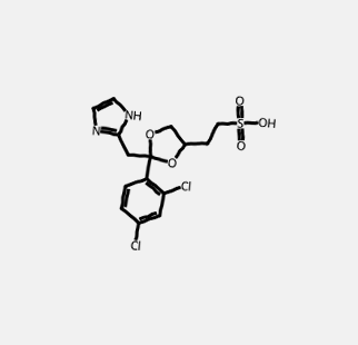 O=S(=O)(O)CCC1COC(Cc2ncc[nH]2)(c2ccc(Cl)cc2Cl)O1